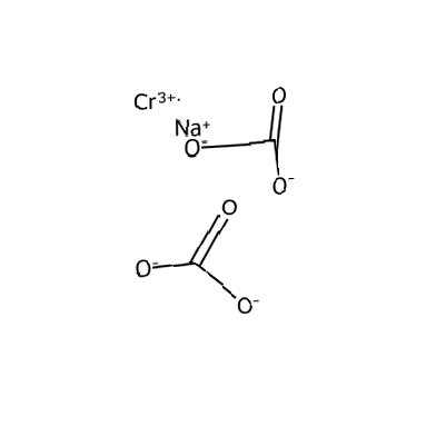 O=C([O-])[O-].O=C([O-])[O-].[Cr+3].[Na+]